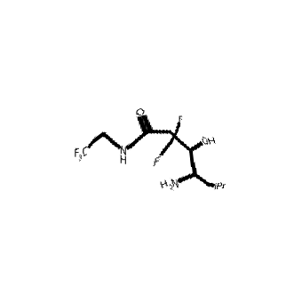 CC(C)C(N)C(O)C(F)(F)C(=O)NCC(F)(F)F